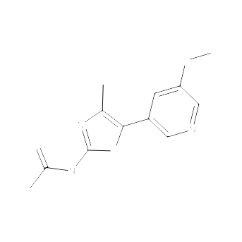 CSc1cncc(-c2sc(NC(C)=O)nc2C)c1